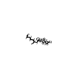 CCCCCC(C)CC(O)CNS(=O)(=O)c1ccc(Cl)s1